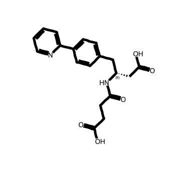 O=C(O)CCC(=O)N[C@@H](CC(=O)O)Cc1ccc(-c2ccccn2)cc1